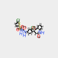 O=C(Nc1ccc(-c2cc(=O)[nH]c3ccccc3c2=O)c(Cl)c1)NS(=O)(=O)c1ccc(Cl)s1